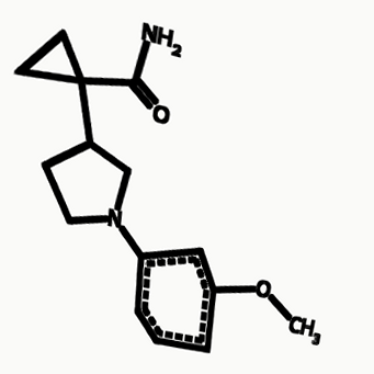 COc1cccc(N2CCC(C3(C(N)=O)CC3)C2)c1